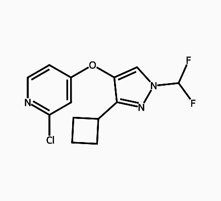 FC(F)n1cc(Oc2ccnc(Cl)c2)c(C2CCC2)n1